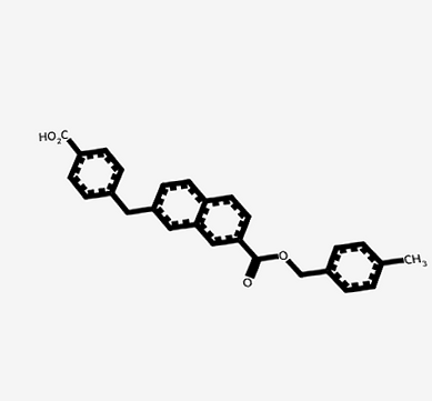 Cc1ccc(COC(=O)c2ccc3ccc(Cc4ccc(C(=O)O)cc4)cc3c2)cc1